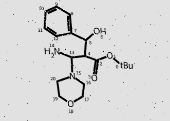 CC(C)(C)OC(=O)C(C(O)c1ccccc1)C(N)N1CCOCC1